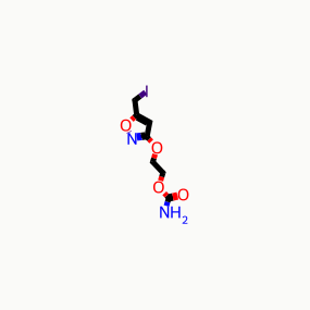 NC(=O)OCCOc1cc(CI)on1